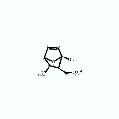 C[C@H]1C2C=C[C@@H](O2)[C@H]1CC(=O)O